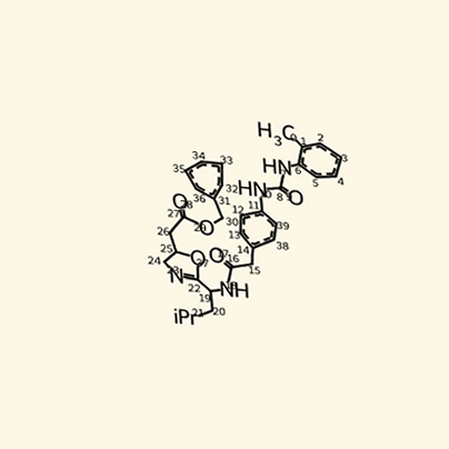 Cc1ccccc1NC(=O)Nc1ccc(CC(=O)NC(CC(C)C)C2=NCC(CC(=O)OCc3ccccc3)O2)cc1